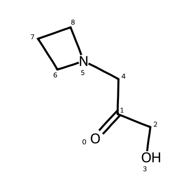 O=C(CO)CN1CCC1